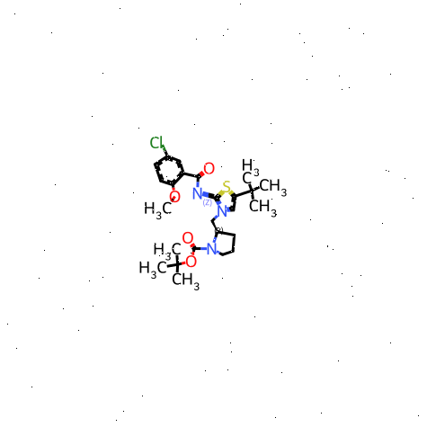 COc1ccc(Cl)cc1C(=O)/N=c1\sc(C(C)(C)C)cn1C[C@H]1CCCN1C(=O)OC(C)(C)C